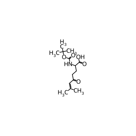 CC(C)=CC(=O)CCC(NC(=O)OC(C)(C)C)C(=O)O